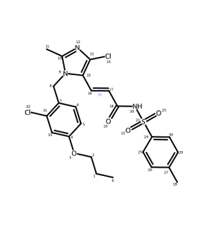 CCCOc1ccc(Cn2c(C)nc(Cl)c2/C=C/C(=O)NS(=O)(=O)c2ccc(C)cc2)c(Cl)c1